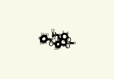 CC(=O)OC12CCCCC1(CCN(C)C)c1cc(OCc3ccccc3)ccc1CC2